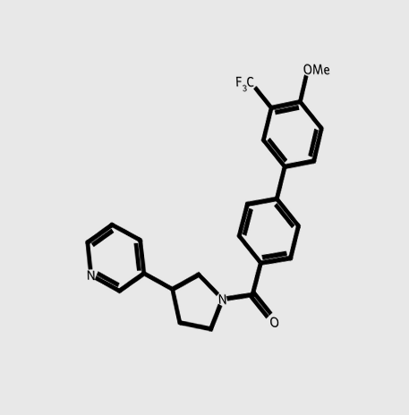 COc1ccc(-c2ccc(C(=O)N3CCC(c4cccnc4)C3)cc2)cc1C(F)(F)F